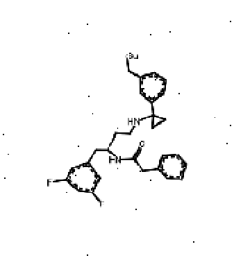 CC(C)(C)Cc1cccc(C2(NCC[C@H](Cc3cc(F)cc(F)c3)NC(=O)Cc3ccccc3)CC2)c1